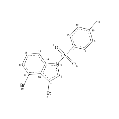 CCc1cn(S(=O)(=O)c2ccc(C)cc2)c2cccc(Br)c12